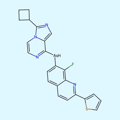 Fc1c([AsH]c2nccn3c(C4CCC4)ncc23)ccc2ccc(-c3cccs3)nc12